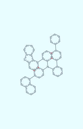 c1ccc(-c2ccc(-c3ccccc3N(c3ccc(-c4cccc5ccccc45)cc3)c3ccccc3-c3cccc4sc5ccccc5c34)cc2)cc1